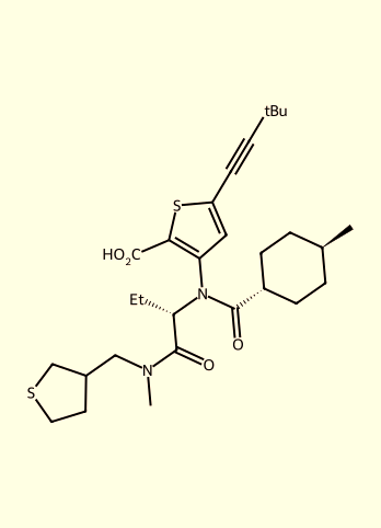 CC[C@@H](C(=O)N(C)CC1CCSC1)N(c1cc(C#CC(C)(C)C)sc1C(=O)O)C(=O)[C@H]1CC[C@H](C)CC1